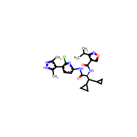 Cc1n[nH]c(C)c1-c1ccc(NC(=O)[C@@H](NC(=O)c2conc2C(C)C)C(C2CC2)C2CC2)nc1Cl